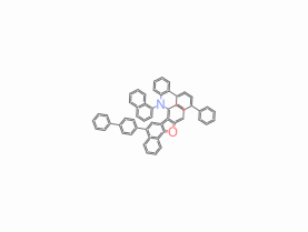 C1=C=C(c2ccccc2N(C2=c3c(oc4c3cc(-c3ccc(-c5ccccc5)cc3)c3ccccc34)=CCC2)c2cccc3ccccc23)C=CC=1c1ccccc1